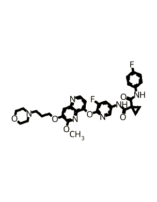 COc1nc2c(Oc3ncc(NC(=O)C4(C(=O)Nc5ccc(F)cc5)CC4)cc3F)ccnc2cc1OCCCN1CCOCC1